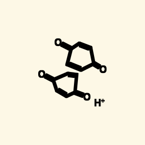 O=C1C=CC(=O)C=C1.O=C1C=CC(=O)C=C1.[H+]